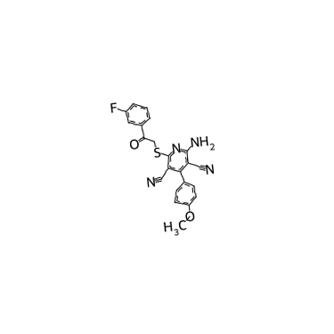 COc1ccc(-c2c(C#N)c(N)nc(SCC(=O)c3cccc(F)c3)c2C#N)cc1